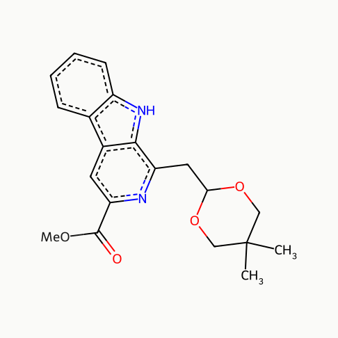 COC(=O)c1cc2c([nH]c3ccccc32)c(CC2OCC(C)(C)CO2)n1